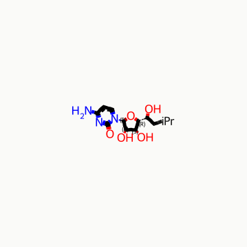 CC(C)CC(O)[C@H]1O[C@@H](n2ccc(N)nc2=O)[C@H](O)[C@@H]1O